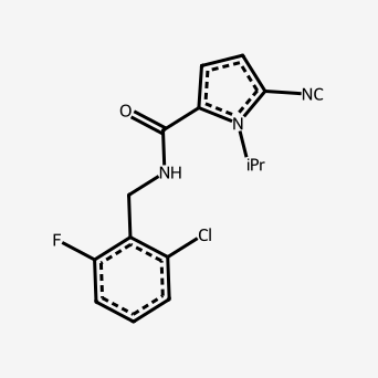 [C-]#[N+]c1ccc(C(=O)NCc2c(F)cccc2Cl)n1C(C)C